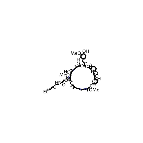 CCOCCOCCNC(=O)CO/N=C1\[C@H](C)C[C@H](C)C(C)C/C=C/C=C(\C)[C@@H](OC)C[C@@H]2CC[C@@H](C)[C@@](O)(O2)C(=O)C(=O)N2CCCC[C@H]2C(=O)O[C@H]([C@H](C)C[C@@H]2CC[C@@H](O)[C@H](OC)C2)C[C@@H](O)[C@H](C)/C=C(\C)[C@@H](O)[C@H]1OC